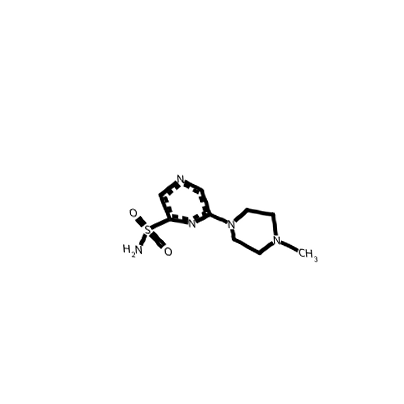 CN1CCN(c2cncc(S(N)(=O)=O)n2)CC1